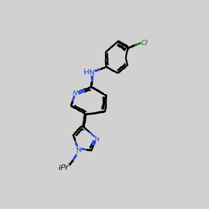 CC(C)n1cnc(-c2ccc(Nc3ccc(Cl)cc3)nc2)c1